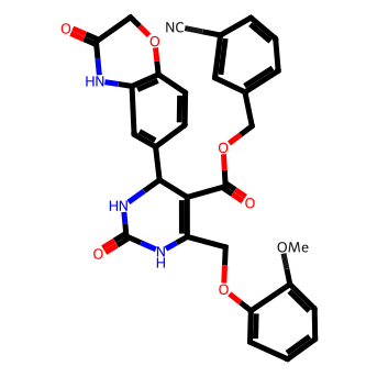 COc1ccccc1OCC1=C(C(=O)OCc2cccc(C#N)c2)C(c2ccc3c(c2)NC(=O)CO3)NC(=O)N1